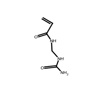 C=CC(=O)NCNC(N)=O